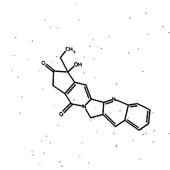 CCC1(O)C(=O)Cc2c1cc1n(c2=O)Cc2cc3ccccc3nc2-1